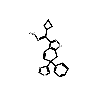 CON=C(c1n[nH]c2c1C=CC(c1ccccc1)(c1cscn1)C2)C1CCC1